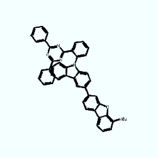 CCCCc1cccc2c1oc1cc(-c3ccc4c(c3)c3ccccc3n4-c3ccccc3-c3nc(-c4ccccc4)nc(-c4ccccc4)n3)ccc12